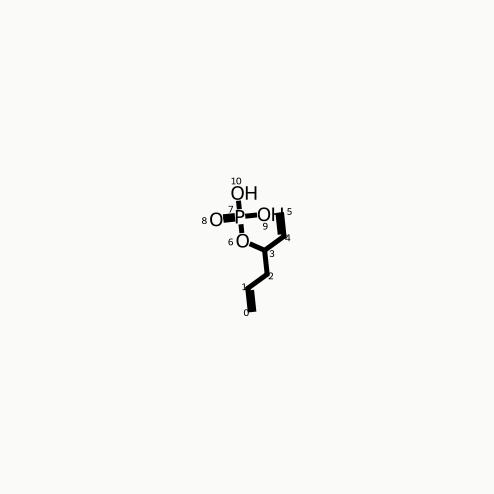 C=CCC(C=C)OP(=O)(O)O